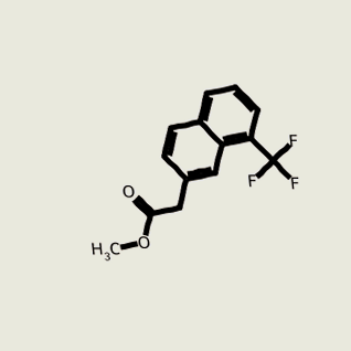 COC(=O)Cc1ccc2cccc(C(F)(F)F)c2c1